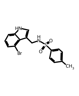 Cc1ccc(S(=O)(=O)NCc2c[nH]c3cccc(Br)c23)cc1